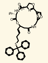 CC(C)[C@@H]1NC(=O)[C@]2(C)COC(=N2)c2coc(n2)CNC(=O)CC(/C=C/CCSC(c2ccccc2)(c2ccccc2)c2ccccc2)OC1=O